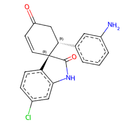 Nc1cccc([C@H]2CC(=O)C=C[C@@]23C(=O)Nc2cc(Cl)ccc23)c1